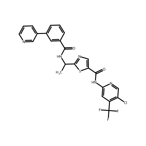 CC(NC(=O)c1cccc(-c2cccnc2)c1)c1ncc(C(=O)Nc2cc(C(F)(F)F)c(Cl)cn2)s1